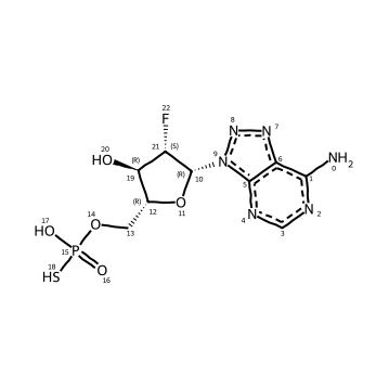 Nc1ncnc2c1nnn2[C@@H]1O[C@H](COP(=O)(O)S)[C@@H](O)[C@@H]1F